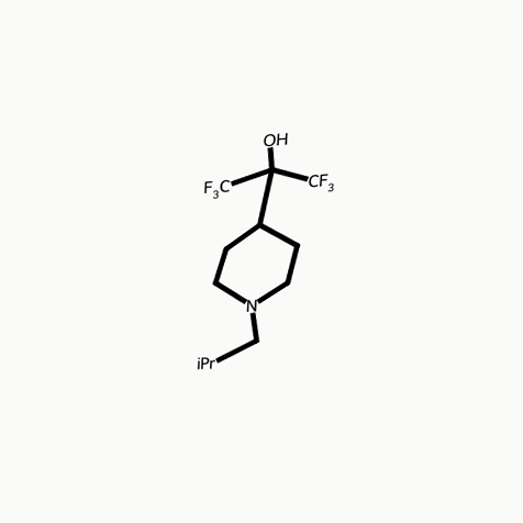 CC(C)CN1CCC(C(O)(C(F)(F)F)C(F)(F)F)CC1